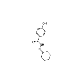 O=C(NN=C1CCCCC1)c1ccc(O)cc1